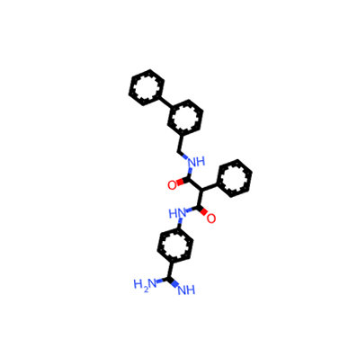 N=C(N)c1ccc(NC(=O)C(C(=O)NCc2cccc(-c3ccccc3)c2)c2ccccc2)cc1